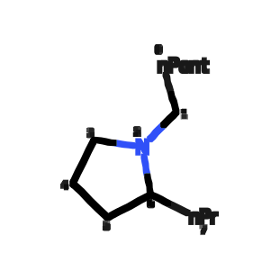 CCCCCCN1CCCC1CCC